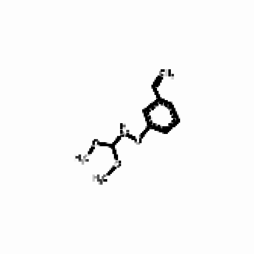 C=Cc1cccc(O[SiH2]C(OC)OC)c1